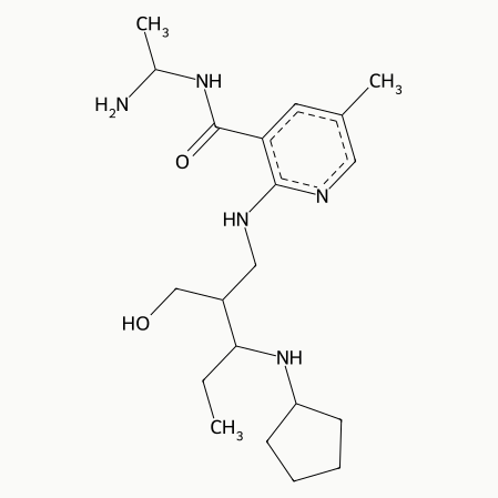 CCC(NC1CCCC1)C(CO)CNc1ncc(C)cc1C(=O)NC(C)N